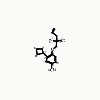 C=CCC(CC)(CC)COc1ccc(C#N)cc1C1CCC1